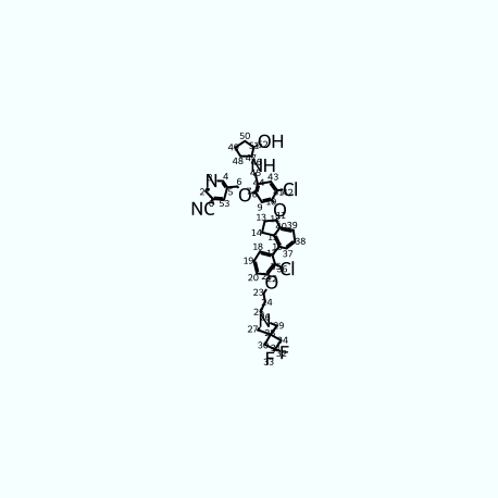 N#Cc1cncc(COc2cc(O[C@H]3CCc4c(-c5cccc(OCCCN6CC7(C6)CC(F)(F)C7)c5Cl)cccc43)c(Cl)cc2CN[C@@H]2CCC[C@H]2O)c1